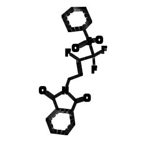 O=C1c2ccccc2C(=O)N1CC=C(F)C(F)(F)S(=O)(=O)c1ccccc1